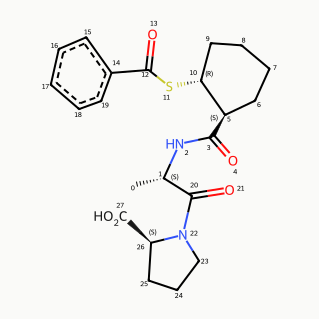 C[C@H](NC(=O)[C@@H]1CCCC[C@H]1SC(=O)c1ccccc1)C(=O)N1CCC[C@H]1C(=O)O